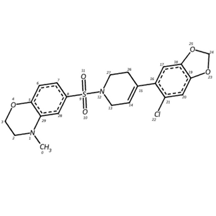 CN1CCOc2ccc(S(=O)(=O)N3CC=C(c4cc5c(cc4Cl)OCO5)CC3)cc21